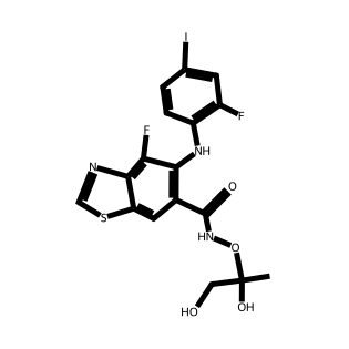 CC(O)(CO)ONC(=O)c1cc2scnc2c(F)c1Nc1ccc(I)cc1F